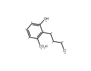 O=C(O)c1cccc(O)c1CCCCl